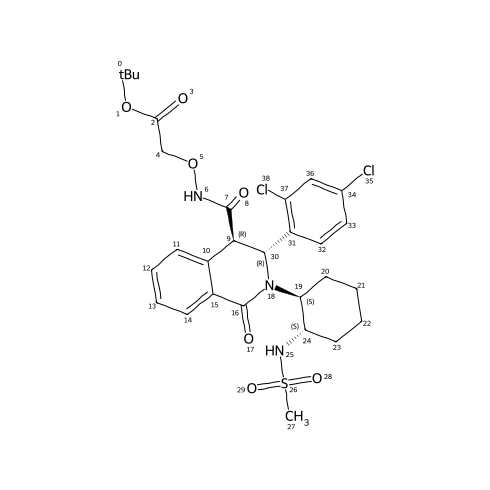 CC(C)(C)OC(=O)CONC(=O)[C@@H]1c2ccccc2C(=O)N([C@H]2CCCC[C@@H]2NS(C)(=O)=O)[C@H]1c1ccc(Cl)cc1Cl